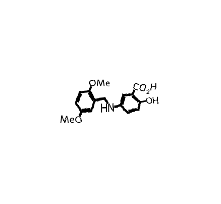 COc1ccc(OC)c(CNc2ccc(O)c(C(=O)O)c2)c1